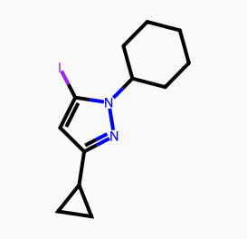 Ic1cc(C2CC2)nn1C1CCCCC1